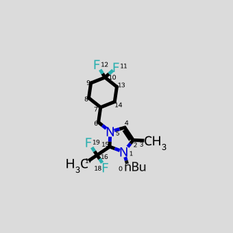 CCCCN1C(C)=CN(CC2CCC(F)(F)CC2)C1C(C)(F)F